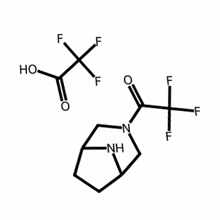 O=C(N1CC2CCC(C1)N2)C(F)(F)F.O=C(O)C(F)(F)F